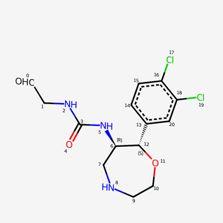 O=CCNC(=O)N[C@@H]1CNCCO[C@H]1c1ccc(Cl)c(Cl)c1